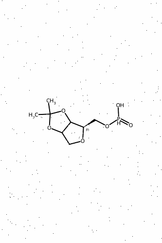 CC1(C)OC2CO[C@H](CO[PH](=O)O)C2O1